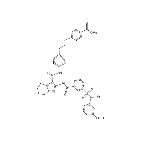 CCOC(=O)c1cccc(N(C(C)C)S(=O)(=O)c2cccc(C(=O)Nc3sc4c(c3C(=O)Nc3ccc(CCCc5ccc(C(=O)OC)cc5)cc3)CCCC4)c2)c1